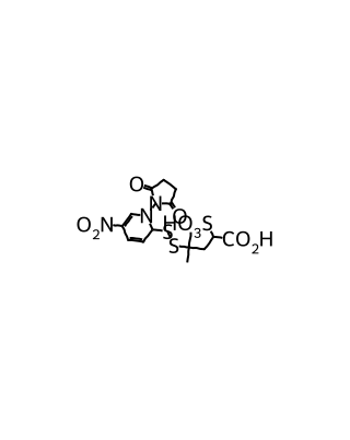 CC(C)(CC(C(=O)O)S(=O)(=O)O)SSC1C=CC([N+](=O)[O-])=CN1N1C(=O)CCC1=O